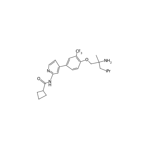 CC(C)CC(C)(N)COc1ccc(-c2ccnc(NC(=O)C3CCC3)c2)cc1C(F)(F)F